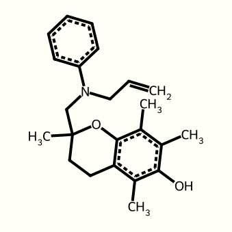 C=CCN(CC1(C)CCc2c(C)c(O)c(C)c(C)c2O1)c1ccccc1